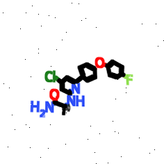 C[C@H](Nc1cc(Cl)cc(-c2ccc(Oc3ccc(F)cc3)cc2)n1)C(N)=O